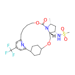 C[C@@H]1C[C@H](NS(C)(=O)=O)[C@@H]2COC3CCC(CC3)c3cc(C(F)(F)F)cc(n3)CCCCOC(=O)N12